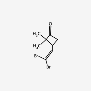 CC1(C)C(=O)CC1C=C(Br)Br